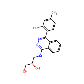 Cc1ccc(-c2nnc(NC[C@@H](O)CO)c3ccccc23)c(O)c1